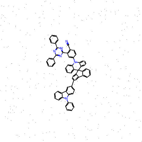 N#Cc1ccc(N2c3ccccc3C3(c4ccccc4-c4cc(-c5ccc6c(c5)c5ccccc5n6-c5ccccc5)ccc43)c3ccccc32)cc1-c1nc(-c2ccccc2)nc(-c2ccccc2)n1